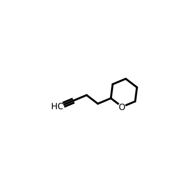 C#CCCC1CCCCO1